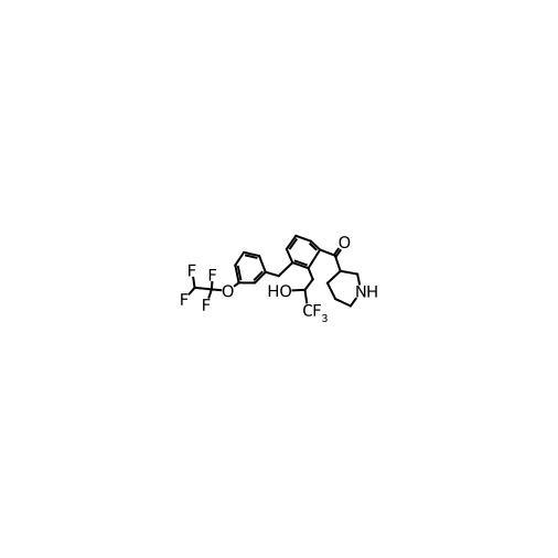 O=C(c1cccc(Cc2cccc(OC(F)(F)C(F)F)c2)c1CC(O)C(F)(F)F)C1CCCNC1